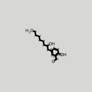 CCCCCCCC(O)Cc1ccc(O)c(C=O)c1